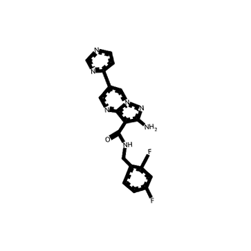 Nc1nn2cc(-c3ccncn3)cnc2c1C(=O)NCc1ccc(F)cc1F